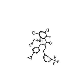 N#CCNc1c(Cl)cc(Cl)c(F)c1C(=O)N(CCc1cccc(C(F)(F)F)c1)Cc1ccc(C2CC2)cc1